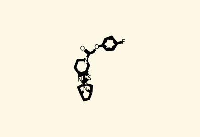 CC(C)N1CC2CCC(C1)N2c1nc2c(s1)CN(C(=O)COc1ccc(F)cc1)CC2